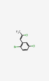 FC(F)(F)C(Cl)=Cc1cc(Cl)ccc1Br